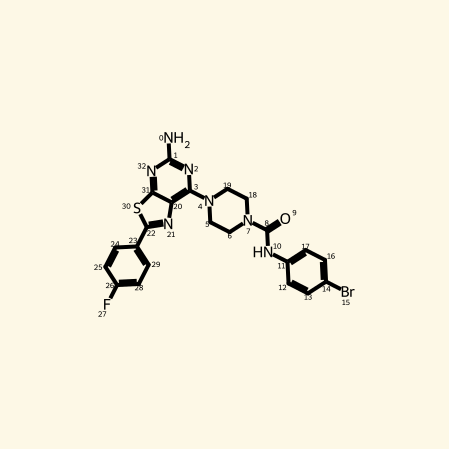 Nc1nc(N2CCN(C(=O)Nc3ccc(Br)cc3)CC2)c2nc(-c3ccc(F)cc3)sc2n1